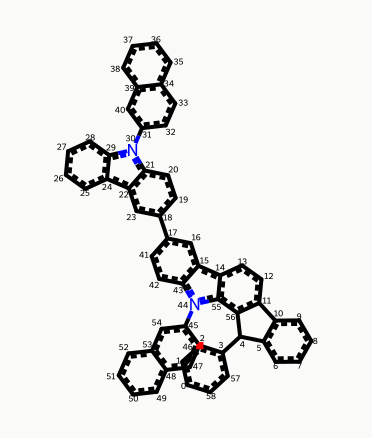 c1ccc(C2c3ccccc3-c3ccc4c5cc(-c6ccc7c(c6)c6ccccc6n7-c6ccc7ccccc7c6)ccc5n(-c5ccc6ccccc6c5)c4c32)cc1